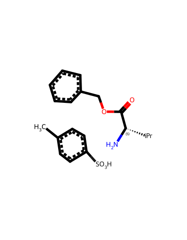 CC(C)[C@H](N)C(=O)OCc1ccccc1.Cc1ccc(S(=O)(=O)O)cc1